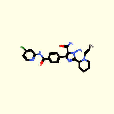 CC=CN1CCCCC1c1nc(-c2ccc(C(=O)Nc3cc(Cl)ccn3)cc2)c(C(N)=O)n1N